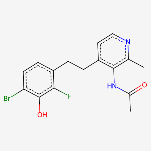 CC(=O)Nc1c(CCc2ccc(Br)c(O)c2F)ccnc1C